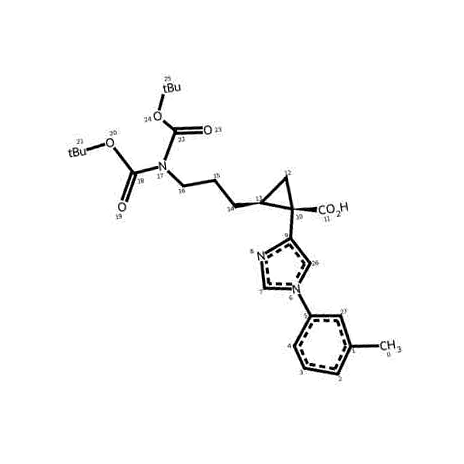 Cc1cccc(-n2cnc([C@@]3(C(=O)O)C[C@@H]3CCCN(C(=O)OC(C)(C)C)C(=O)OC(C)(C)C)c2)c1